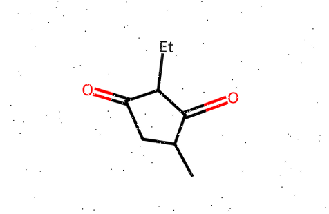 CCC1C(=O)CC(C)C1=O